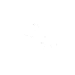 O=C1c2ccccc2C(=O)N1CC/C=C(\c1ccccc1)N1CCOCC1